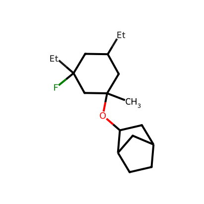 CCC1CC(F)(CC)CC(C)(OC2CC3CCC2C3)C1